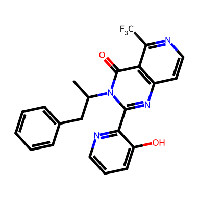 CC(Cc1ccccc1)n1c(-c2ncccc2O)nc2ccnc(C(F)(F)F)c2c1=O